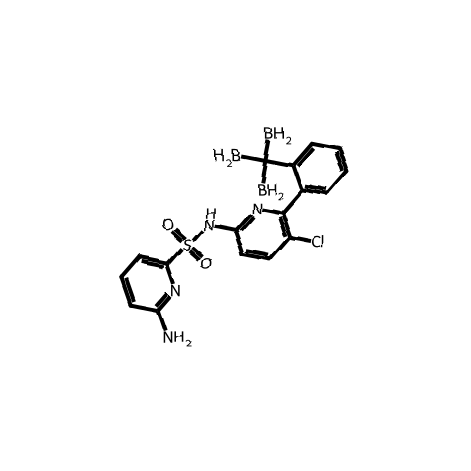 BC(B)(B)c1ccccc1-c1nc(NS(=O)(=O)c2cccc(N)n2)ccc1Cl